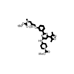 COC(=O)N1CCC(Nc2cc(-c3c(C)noc3C)nc(-c3cccc(OC[C@H](O)CN(C)C(=O)OC(C)(C)C)c3)n2)CC1